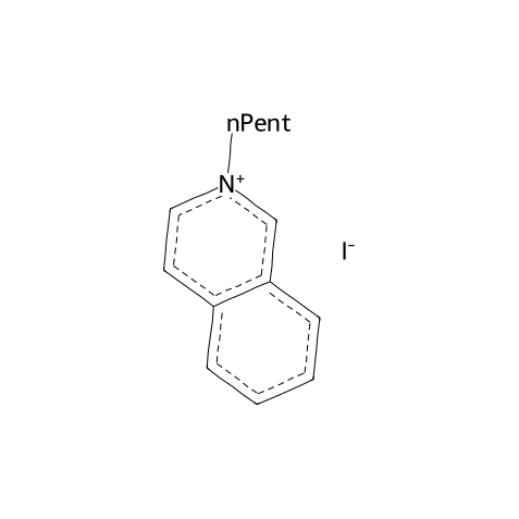 CCCCC[n+]1ccc2ccccc2c1.[I-]